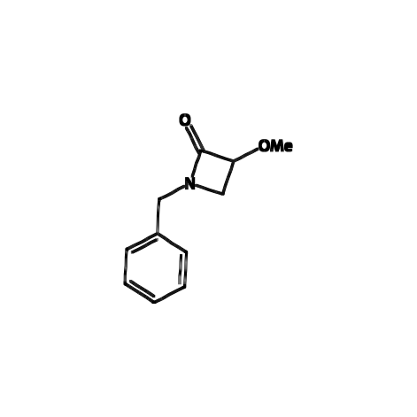 COC1CN(Cc2ccccc2)C1=O